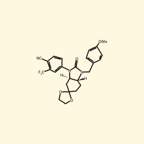 COc1ccc(CN2C(=O)N(c3ccc(C#N)c(C(F)(F)F)c3)[C@@H]3CC4(CC[C@H]32)OCCO4)cc1